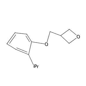 CC(C)c1ccccc1OCC1COC1